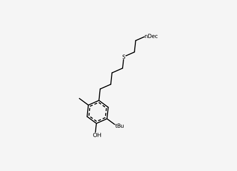 CCCCCCCCCCCCSCCCCc1cc(C(C)(C)C)c(O)cc1C